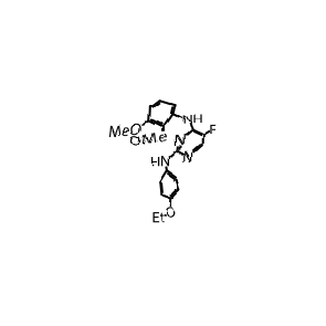 CCOc1ccc(Nc2ncc(F)c(Nc3cccc(OC)c3OC)n2)cc1